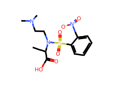 CC(C(=O)O)N(CCN(C)C)S(=O)(=O)c1ccccc1[N+](=O)[O-]